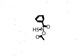 CC(=O)ON(S)C(=O)c1ccccc1